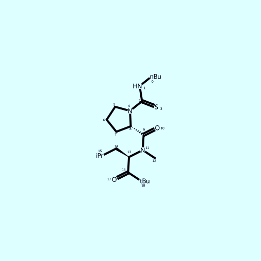 CCCCNC(=S)N1CCC[C@H]1C(=O)N(C)[C@H](CC(C)C)C(=O)C(C)(C)C